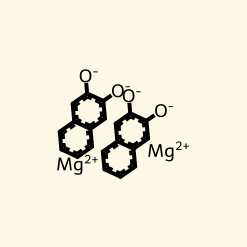 [Mg+2].[Mg+2].[O-]c1cc2ccccc2cc1[O-].[O-]c1cc2ccccc2cc1[O-]